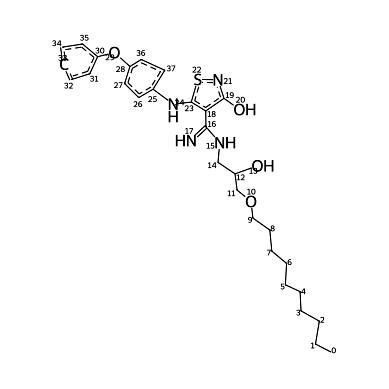 CCCCCCCCCCOCC(O)CNC(=N)c1c(O)nsc1Nc1ccc(Oc2ccccc2)cc1